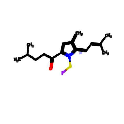 C=c1cc(C(=O)CCC(C)C)n(SI)/c1=C/C=C(C)C